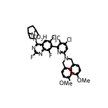 COc1ccc(CN(Cc2ccc(OC)cc2)c2cc(Cl)c(C(F)(F)F)c(-c3c(Cl)cc4c(N5CC6CCC(C5)N6C(=O)O)nc(F)nc4c3F)n2)cc1